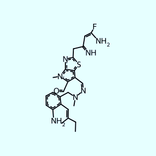 CC/C(C)=C/c1c(N)cccc1CN(C)/N=C\c1c(C=O)n(C)c2nc(CC(=N)/C=C(\N)F)sc12